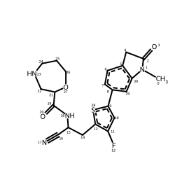 CN1C(=O)Cc2ccc(-c3cc(F)c(CC(C#N)NC(=O)C4CNCCCO4)s3)cc21